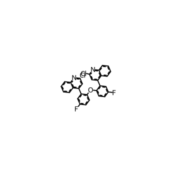 Fc1ccc(Oc2ccc(F)cc2-c2cc(Cl)nc3ccccc23)c(-c2cc(Cl)nc3ccccc23)c1